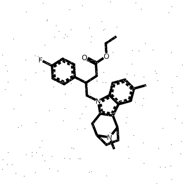 CCOC(=O)CC(Cn1c2c(c3cc(C)ccc31)C1CCC(C2)N1C)c1ccc(F)cc1